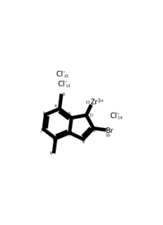 Cc1ccc(C)c2c1C=C(Br)[CH]2[Zr+3].[Cl-].[Cl-].[Cl-]